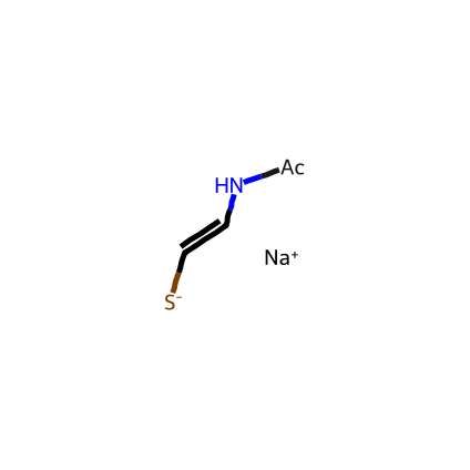 CC(=O)N/C=C/[S-].[Na+]